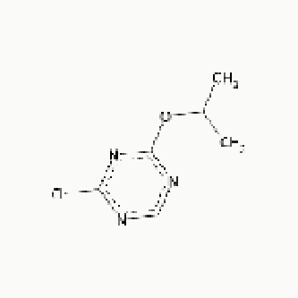 CC(C)Oc1ncnc(Cl)n1